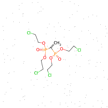 C=C(P(=O)(OCCCl)OCCCl)P(=O)(OCCCl)OCCCl